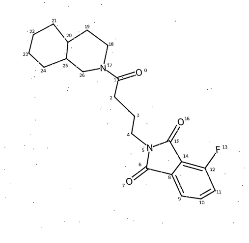 O=C(CCCN1C(=O)c2cccc(F)c2C1=O)N1CCC2CCCCC2C1